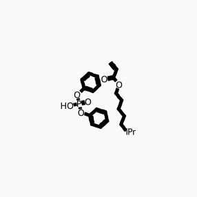 C=CC(=O)OCCCCCC(C)C.O=P(O)(Oc1ccccc1)Oc1ccccc1